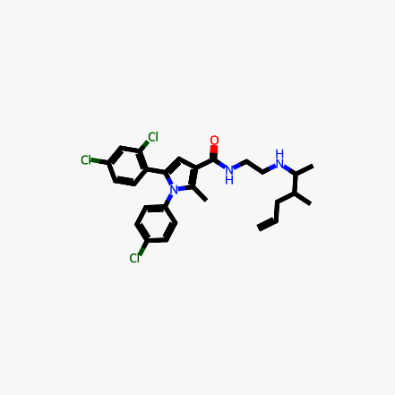 C=CCC(C)C(C)NCCNC(=O)c1cc(-c2ccc(Cl)cc2Cl)n(-c2ccc(Cl)cc2)c1C